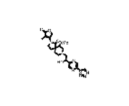 COC1CN(CC(O)c2cnc(-n3cnnn3)cn2)CCC12CCN(C1=C(C)C(=O)OC1)C2=O